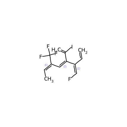 C=CC(=C/F)/C(=C/C(=C\C)C(F)(F)F)C(=C)I